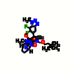 Cn1c(N2[C@@H]3CC[C@H]2C[C@@H](NC(=O)OC(C)(C)C)C3)nc2c(c(-c3cc4nnn(C)c4c(F)c3F)cn2COCC[Si](C)(C)C)c1=O